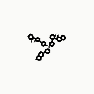 c1cc(-c2ccc3ccccc3c2)cc(N(c2ccc(-c3ccc4c(c3)oc3ccccc34)cc2)c2cccc(-c3cccc4oc5c6ccccc6ccc5c34)c2)c1